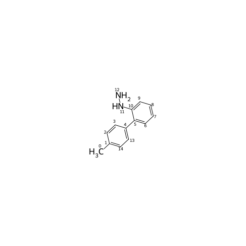 Cc1ccc(-c2ccccc2NN)cc1